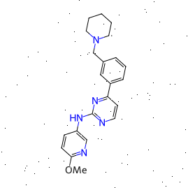 COc1ccc(Nc2nccc(-c3cccc(CN4[CH]CCCC4)c3)n2)cn1